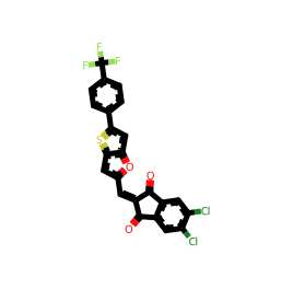 O=C1C(=Cc2cc3sc(-c4ccc(C(F)(F)F)cc4)cc3o2)C(=O)c2cc(Cl)c(Cl)cc21